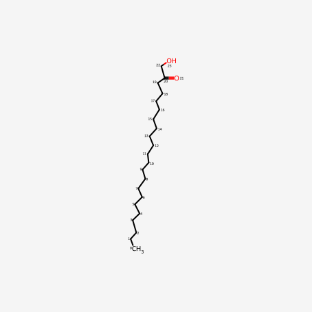 CCCCCCCCCCCCCCCCCCCCC(=O)CO